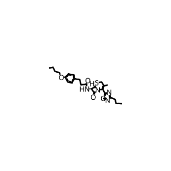 CCCCOc1ccc(CCC(=O)N[C@@H]2C(=O)N3C(c4nc(CCC)no4)=C(C)CS[C@H]23)cc1